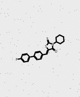 O=C1/C(=C/c2ccc(-c3ccc(F)cc3)cc2)SC(=S)N1C1CCCCC1